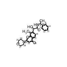 Cc1c(C(O)C(=O)NC(C)c2ccccc2)ccc2c(=O)cc(N3CCOCC3)oc12